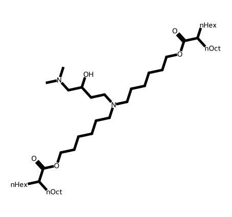 CCCCCCCCC(CCCCCC)C(=O)OCCCCCCN(CCCCCCOC(=O)C(CCCCCC)CCCCCCCC)CCC(O)CN(C)C